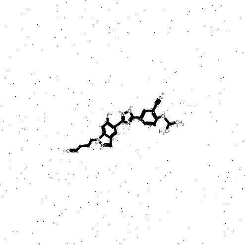 CC(C)Oc1ccc(-c2nc(-c3cc4cnn(CCCC=O)c4cc3I)no2)cc1C#N